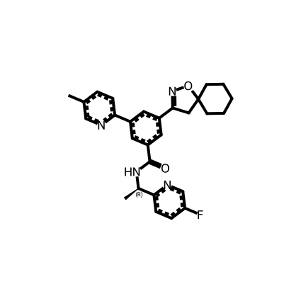 Cc1ccc(-c2cc(C(=O)N[C@H](C)c3ccc(F)cn3)cc(C3=NOC4(CCCCC4)C3)c2)nc1